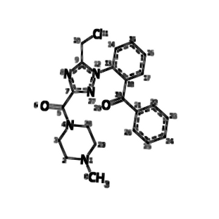 CN1CCN(C(=O)c2nc(CCl)n(-c3ccccc3C(=O)c3ccccc3)n2)CC1